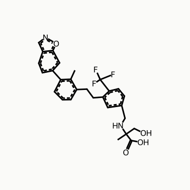 Cc1c(CCc2cc(CNC(C)(CO)C(=O)O)ccc2C(F)(F)F)cccc1-c1ccc2cnoc2c1